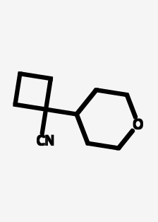 N#CC1(C2CCOCC2)CCC1